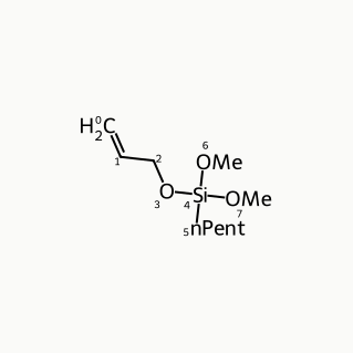 C=CCO[Si](CCCCC)(OC)OC